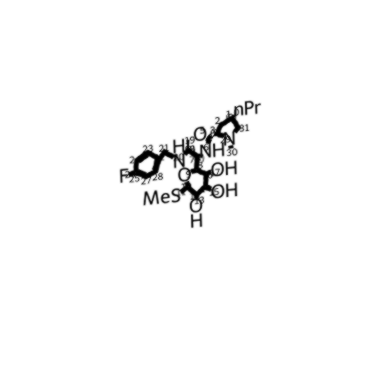 CCC[C@@H]1C[C@@H](C(=O)N[C@@H](C2OC(SC)C(O)C(O)C2O)[C@H](C)NCc2ccc(F)cc2)N(C)C1